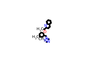 CC(OC1CCC(C)(C)CC1Cn1cncn1)c1ccc2ccccc2n1